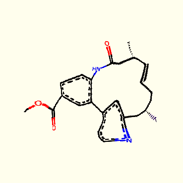 COC(=O)c1ccc2c(c1)-c1ccnc(c1)[C@@H](I)C/C=C/[C@@H](C)C(=O)N2